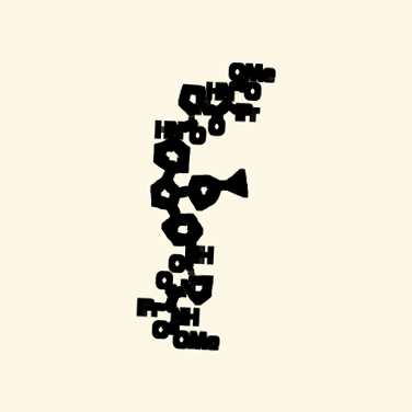 COC(=O)N[C@H](C(=O)N1CCC[C@H]1C(=O)Nc1ccc(C2=CCC(c3ccc(NC(=O)[C@@H]4CCCN4C(=O)[C@@H](NC(=O)OC)C(C)C)cc3)C2c2ccc(C3CC3)cc2)cc1)C(C)C